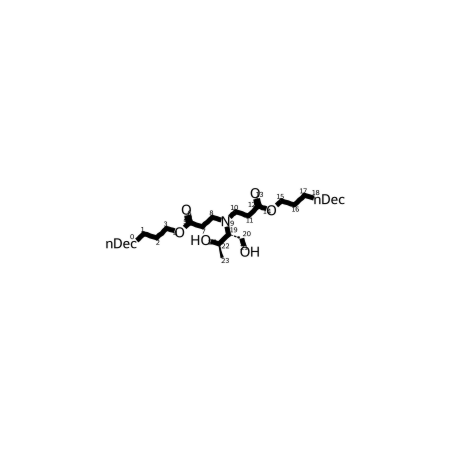 CCCCCCCCCCCCCOC(=O)CCN(CCC(=O)OCCCCCCCCCCCCC)[C@H](CO)[C@@H](C)O